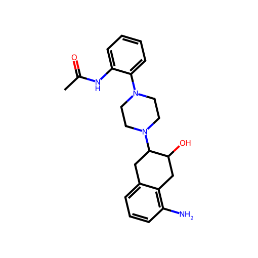 CC(=O)Nc1ccccc1N1CCN(C2Cc3cccc(N)c3CC2O)CC1